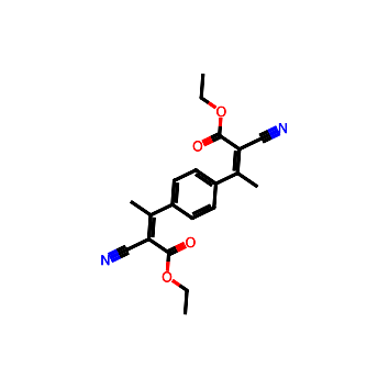 CCOC(=O)C(C#N)=C(C)c1ccc(C(C)=C(C#N)C(=O)OCC)cc1